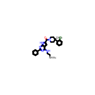 COC1(c2ccccc2Cl)CCN(C(=O)c2cc3c(NCCNC(C)=O)nc(-c4ccccc4)nc3[nH]2)CC1